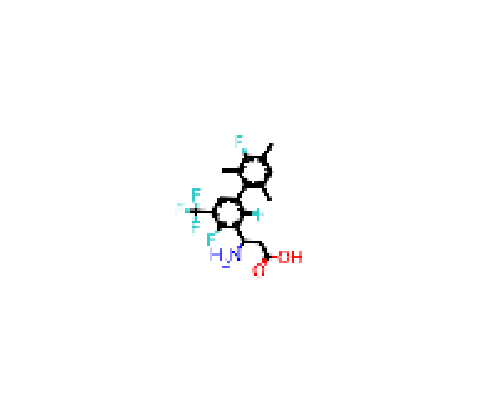 Cc1cc(C)c(-c2cc(C(F)(F)F)c(F)c(C(N)CC(=O)O)c2F)c(C)c1F